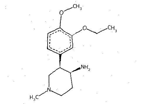 CCOc1cc([C@@H]2CN(C)CC[C@@H]2N)ccc1OC